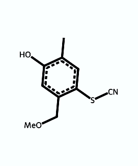 COCc1cc(O)c(C)cc1SC#N